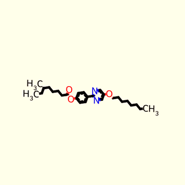 CCCCCCCCOc1cnc(-c2ccc(OC(=O)CCCC[C@@H](C)CC)cc2)nc1